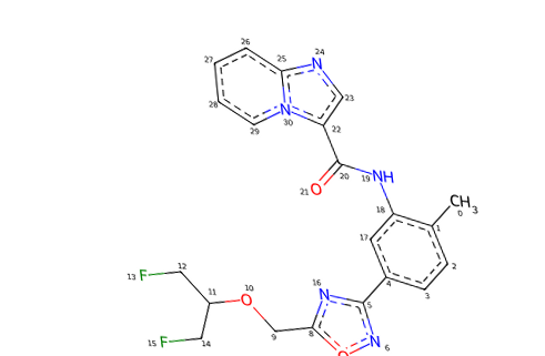 Cc1ccc(-c2noc(COC(CF)CF)n2)cc1NC(=O)c1cnc2ccccn12